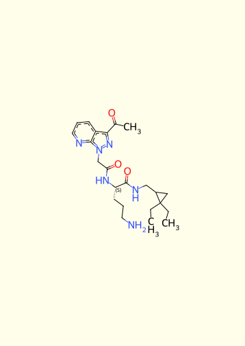 CCC1(CC)CC1CNC(=O)[C@H](CCCN)NC(=O)Cn1nc(C(C)=O)c2cccnc21